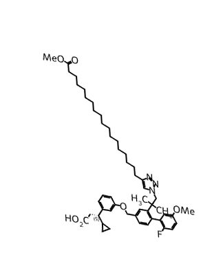 COC(=O)CCCCCCCCCCCCCCCCCc1cn(CC(C)(C)c2cc(COc3cccc([C@@H](CC(=O)O)C4CC4)c3)ccc2-c2cc(OC)ccc2F)nn1